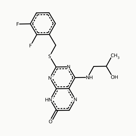 CC(O)CNc1nc(SCc2cccc(F)c2F)nc2[nH]c(=O)cnc12